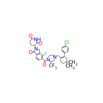 CC1(C)CCC(CN2CCN(C(=O)c3ccc4c(c3F)CN(C3CCC(=O)NC3=O)C4=O)C(C(F)(F)F)C2)=C(c2ccc(Cl)cc2)C1